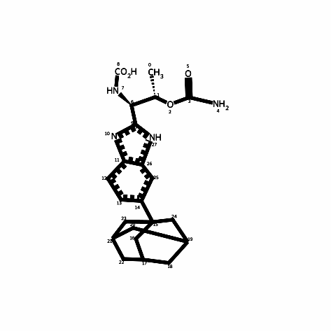 C[C@H](OC(N)=O)[C@H](NC(=O)O)c1nc2ccc(C34CC5CC(CC(C5)C3)C4)cc2[nH]1